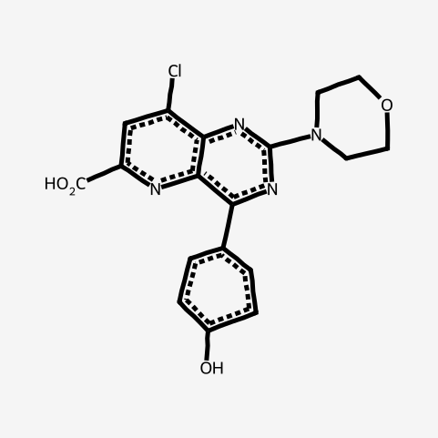 O=C(O)c1cc(Cl)c2nc(N3CCOCC3)nc(-c3ccc(O)cc3)c2n1